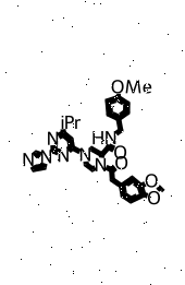 COc1ccc(CNC(=O)C2CN(c3cc(C(C)C)nc(-n4ccnc4)n3)CCN2C(=O)Cc2ccc3c(c2)OCO3)cc1